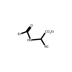 [C-]#[N+]C(NC(=O)CC)C(=O)OCC